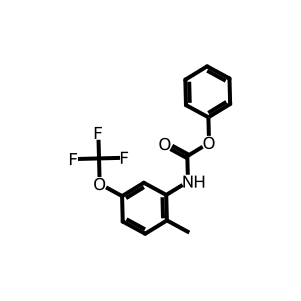 Cc1ccc(OC(F)(F)F)cc1NC(=O)Oc1ccccc1